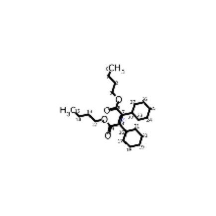 CCCCOC(=O)/C(=C(\C(=O)OCCCC)C1CCCCC1)C1CCCCC1